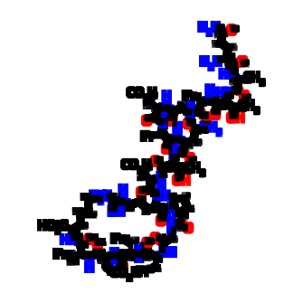 CC(C)C[C@H](NC(=O)CNC(=O)[C@@H]1CCCN1C(=O)[C@H](CCCNC(=N)N)NC(=O)[C@H](CC(=O)O)NC(=O)[C@@H](NC(=O)[C@H](CC(N)=O)NC(=O)[C@@H](NC(=O)[C@H](CC(=O)O)NC(=O)CNC(=O)[C@@H](NC(=O)[C@@H](NC(=O)[C@H](C)NC(=O)[C@@H](N)CCC(N)=O)[C@@H](C)O)C(C)C)C(C)C)[C@@H](C)O)C(=O)N[C@@H](CC(C)C)C(=O)N[C@@H](CC(=O)O)C(=O)N[C@@H](CC(C)C)C(=O)N[C@@H](CCCCN)C(=O)O